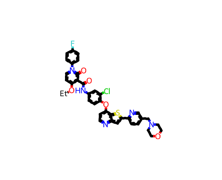 CCOc1ccn(-c2ccc(F)cc2)c(=O)c1C(=O)Nc1ccc(Oc2ccnc3cc(-c4ccc(CN5CCOCC5)cn4)sc23)c(Cl)c1